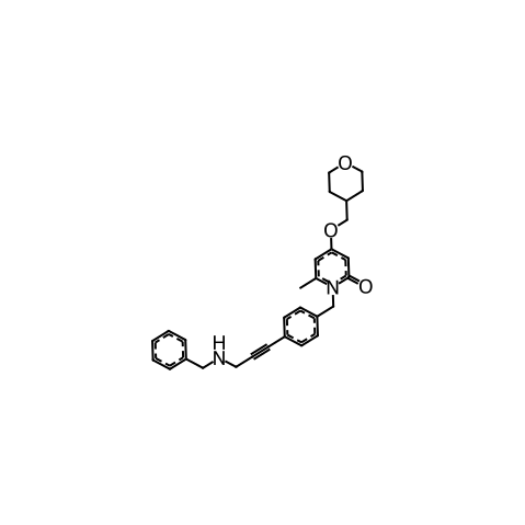 Cc1cc(OCC2CCOCC2)cc(=O)n1Cc1ccc(C#CCNCc2ccccc2)cc1